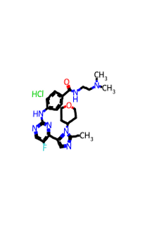 Cc1ncc(-c2nc(Nc3ccc(C(=O)NCCN(C)C)cc3)ncc2F)n1C1CCOCC1.Cl